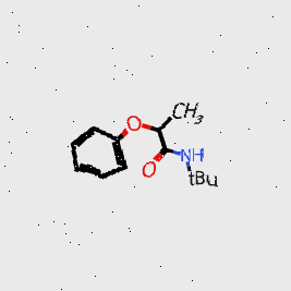 CC(Oc1ccccc1)C(=O)NC(C)(C)C